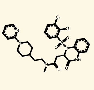 CN(CCC1CCN(c2ccccn2)CC1)C(=O)C[C@@H]1C(=O)Nc2ccccc2N1S(=O)(=O)c1cccc(Cl)c1Cl